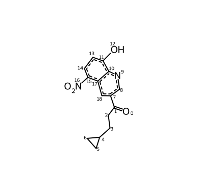 O=C(CCC1CC1)c1cnc2c(O)ccc([N+](=O)[O-])c2c1